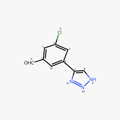 O=Cc1cc(Cl)cc(-c2c[nH]nn2)c1